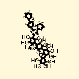 Oc1c(O)c(-c2nc(-c3ccc4c(c3)oc3ccccc34)n(-c3ccccc3)n2)c(O)c(-c2c(O)c(O)c(-c3c(O)c(O)c(O)c4c3oc3c(O)c(O)c(O)c(O)c34)c(O)c2O)c1O